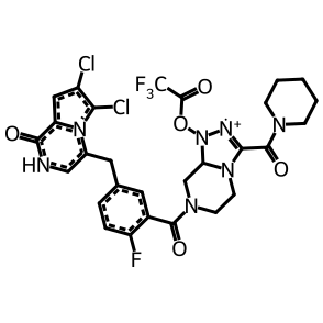 O=C(C1=[N+]N(OC(=O)C(F)(F)F)C2CN(C(=O)c3cc(Cc4c[nH]c(=O)c5cc(Cl)c(Cl)n45)ccc3F)CCN12)N1CCCCC1